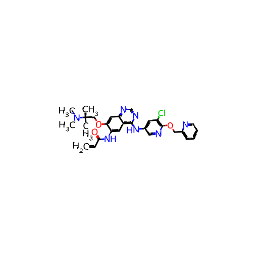 C=CC(=O)Nc1cc2c(Nc3cnc(OCc4ccccn4)c(Cl)c3)ncnc2cc1OCC(C)(C)N(C)C